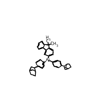 CC1(C)c2ccccc2-c2cc(N(c3ccc(C4CC5CCC4C5)cc3)c3ccc(C4CC5CCC4C5)cc3)ccc21